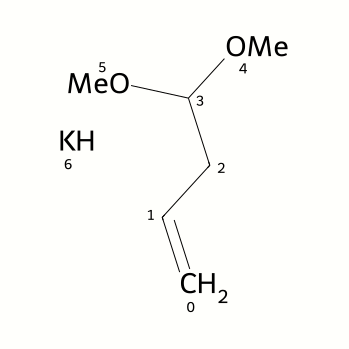 C=CCC(OC)OC.[KH]